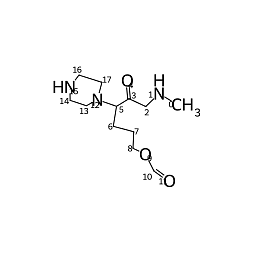 CNCC(=O)C(CCCOC=O)N1CCNCC1